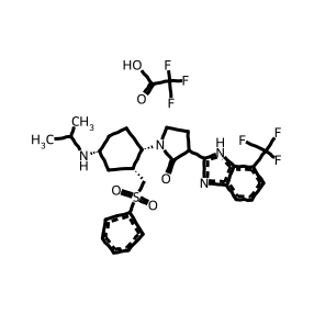 CC(C)N[C@@H]1CC[C@H](N2CCC(c3nc4cccc(C(F)(F)F)c4[nH]3)C2=O)[C@H](CS(=O)(=O)c2ccccc2)C1.O=C(O)C(F)(F)F